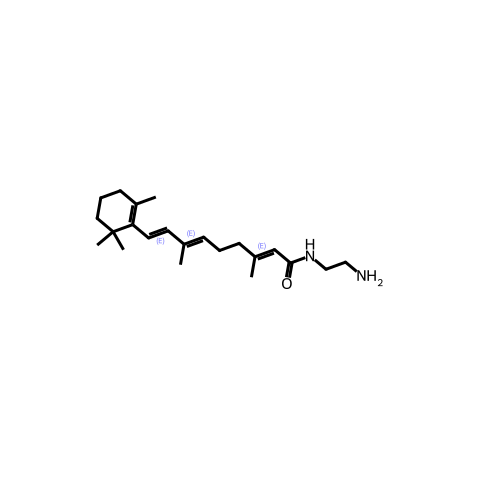 CC1=C(/C=C/C(C)=C/CC/C(C)=C/C(=O)NCCN)C(C)(C)CCC1